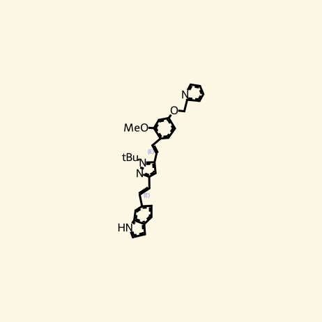 COc1cc(OCc2ccccn2)ccc1/C=C/c1cc(/C=C/c2ccc3cc[nH]c3c2)nn1C(C)(C)C